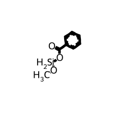 CO[SiH2]OC(=O)c1ccccc1